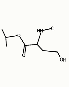 CC(C)OC(=O)C(CCO)NCl